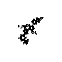 CC1C[C@@H](N2CCC3(C2)C[S+]([O-])C3)C[C@H]1c1cc(-c2cccc(C(F)(F)F)n2)nn1C(C)C